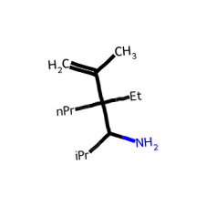 C=C(C)C(CC)(CCC)C(N)C(C)C